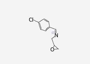 Clc1ccc(/C=N\CC2CO2)cc1